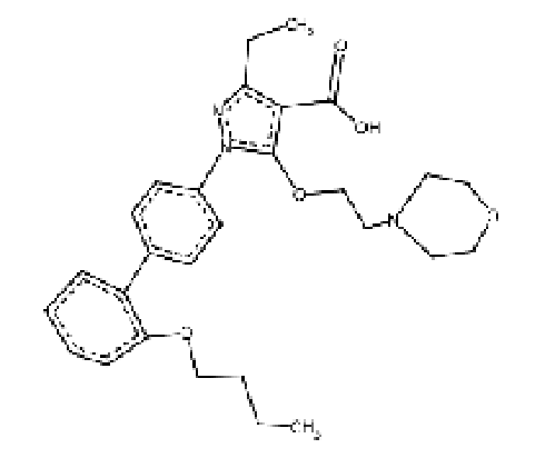 CCCCOc1ccccc1-c1ccc(-n2nc(CC)c(C(=O)O)c2OCCN2CCOCC2)cc1